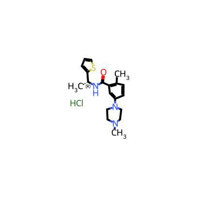 Cc1ccc(N2CCN(C)CC2)cc1C(=O)N[C@H](C)c1cccs1.Cl